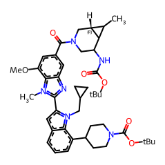 COc1cc(C(=O)N2CC(NC(=O)OC(C)(C)C)C3C(C)[C@H]3C2)cc2nc(-c3cc4cccc(C5CCN(C(=O)OC(C)(C)C)CC5)c4n3CC3CC3)n(C)c12